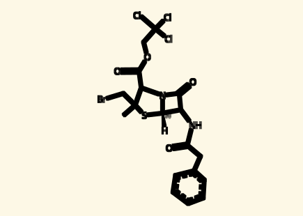 CC1(CBr)S[C@H]2C(NC(=O)Cc3ccccc3)C(=O)N2C1C(=O)OCC(Cl)(Cl)Cl